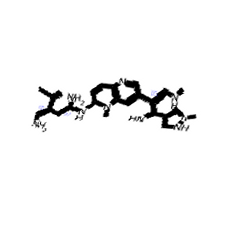 CN/C=C(\C(=N)C1=CN(C)NC1)c1cnc2c(c1)N(C)C(N/C(N)=C/C(=C\N)C(C)C)C=C2